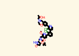 COc1nc(-c2cccc(-c3ccnc(-c4ccc5c(c4)OCCN(CC(C)O)C5)c3Cl)c2Cl)ccc1CN(C[C@@H]1CCC(=O)N1)C(=O)OC(C)(C)C